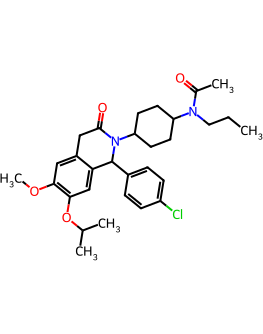 CCCN(C(C)=O)C1CCC(N2C(=O)Cc3cc(OC)c(OC(C)C)cc3C2c2ccc(Cl)cc2)CC1